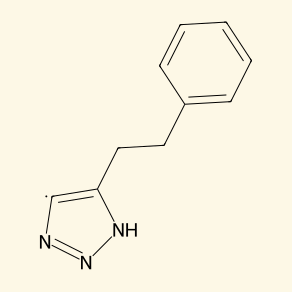 [c]1nn[nH]c1CCc1ccccc1